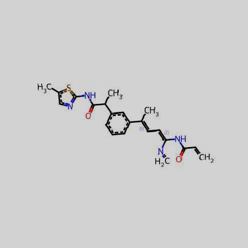 C=CC(=O)N/C(=C/C=C(\C)c1cccc(C(C)C(=O)Nc2ncc(C)s2)c1)N=C